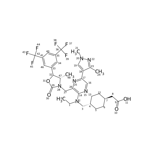 CCN(C[C@H]1CC[C@H](CC(=O)O)CC1)c1ncc(-c2cn(C)nc2C)nc1CN1C(=O)OC(c2cc(C(F)(F)F)cc(C(F)(F)F)c2)[C@@H]1C